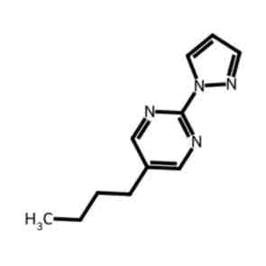 CCCCc1cnc(-n2cccn2)nc1